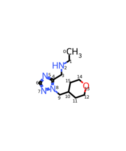 CCNCc1ncnn1CC1CCOCC1